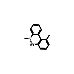 Cc1cccc(C(C)C)c1-c1ccccc1N(C)C